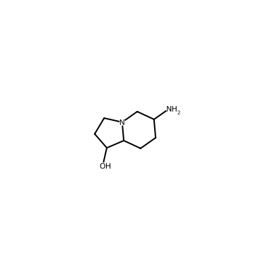 NC1CCC2C(O)CCN2C1